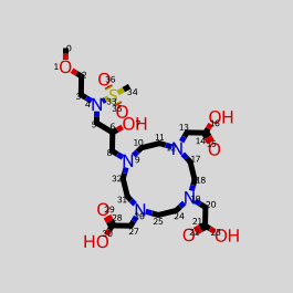 COCCN(CC(O)CN1CCN(CC(=O)O)CCN(CC(=O)O)CCN(CC(=O)O)CC1)S(C)(=O)=O